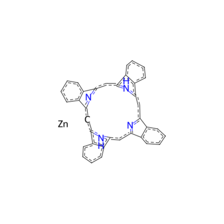 [Zn].c1ccc2c(c1)-c1cc3[nH]c(cc4nc(cc5[nH]c(cc-2n1)c1ccccc51)-c1ccccc1-4)c1ccccc31